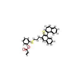 C=CC(=O)Oc1ccccc1SCCCc1cc2ccccc2c2c1sc1ccc3ccccc3c12